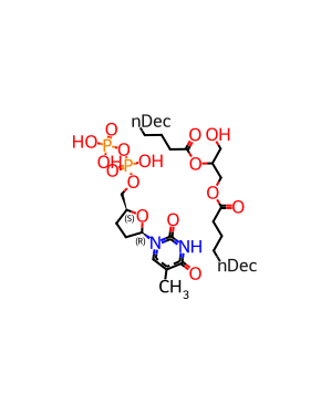 CCCCCCCCCCCCCC(=O)OCC(CO)OC(=O)CCCCCCCCCCCCC.Cc1cn([C@H]2CC[C@@H](COP(=O)(O)OP(=O)(O)O)O2)c(=O)[nH]c1=O